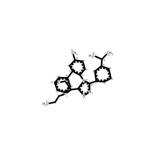 CCCCC(CC)c1nnc(-c2cccc(C(C)C)c2)n1-c1ccc(C)cc1-c1ccccc1